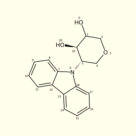 OC1COC[C@H](n2c3ccccc3c3ccccc32)[C@H]1O